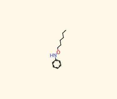 CCCCCCONc1ccccc1